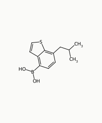 CC(C)Cc1ccc(B(O)O)c2ccsc12